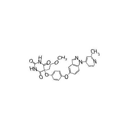 COCCC1(Oc2ccc(Oc3ccc4c(cnn4-c4ccnc(C)c4)c3)cc2)C(=O)NC(=O)NC1=O